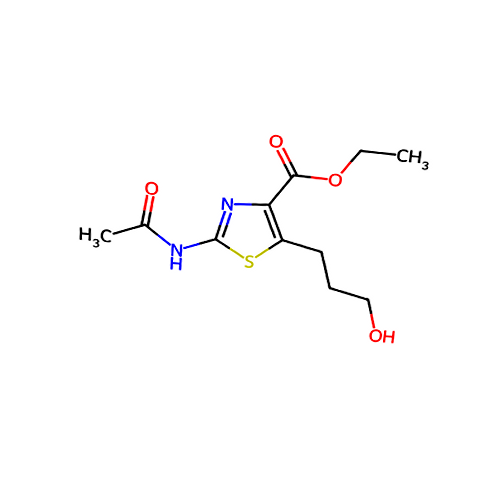 CCOC(=O)c1nc(NC(C)=O)sc1CCCO